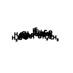 COC(=O)N[C@H](C(=O)N1CCC[C@H]1c1ncc(-c2ccc(-c3ccc(NC(=O)c4ccc(N5CCN(C(=O)[C@H]6CC6(C)C)C[C@H]5C)nc4)cc3OC(F)(F)F)cc2)[nH]1)C(C)C